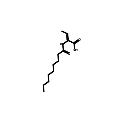 CC=C(NC(=O)CCCCCCCC)C(=O)O